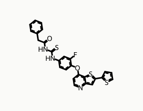 O=C(Cc1ccccc1)NC(=S)Nc1ccc(Oc2ccnc3cc(-c4cccs4)sc23)c(F)c1